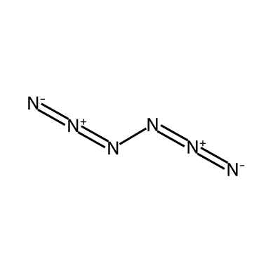 [N-]=[N+]=NN=[N+]=[N-]